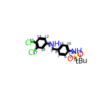 CC(C)(C)S(=O)(=O)Nc1ccc(CNc2ccc(Cl)c(Cl)c2)cc1